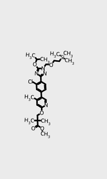 COC(=O)C(C)(C)COc1cc(C)c(-c2ccc(-c3nc(OC(C)C)n(COCC[Si](C)(C)C)n3)c(Cl)c2)cn1